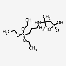 CCO[Si](CCCNC(C)(C)CP(=O)(O)O)(OCC)OCC